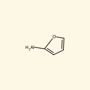 [AlH2][c]1ccco1